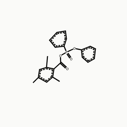 Cc1cc(C)c(C(=O)OP(=O)(Oc2ccccc2)c2ccccc2)c(C)c1